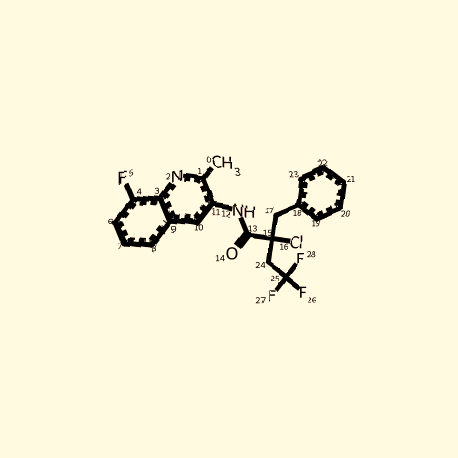 Cc1nc2c(F)cccc2cc1NC(=O)C(Cl)(Cc1ccccc1)CC(F)(F)F